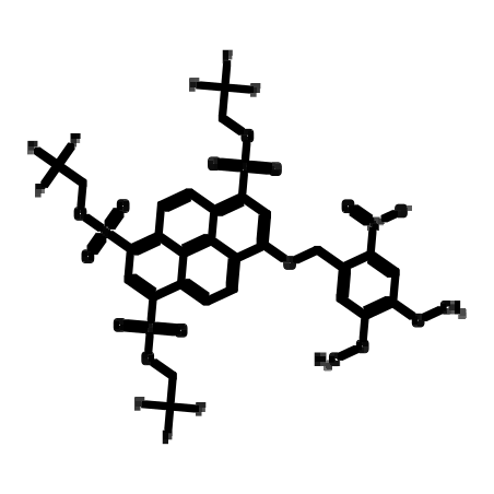 COc1cc(COc2cc(S(=O)(=O)OCC(F)(F)F)c3ccc4c(S(=O)(=O)OCC(F)(F)F)cc(S(=O)(=O)OCC(F)(F)F)c5ccc2c3c54)c([N+](=O)[O-])cc1OC